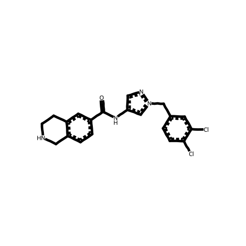 O=C(Nc1cnn(Cc2ccc(Cl)c(Cl)c2)c1)c1ccc2c(c1)CCNC2